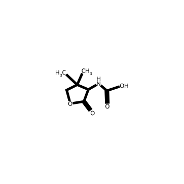 CC1(C)COC(=O)C1NC(=O)O